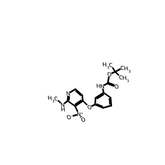 CNc1nccc(Oc2cccc(NC(=O)OC(C)(C)C)c2)c1[N+](=O)[O-]